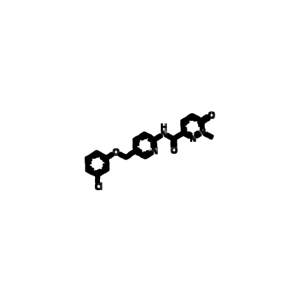 Cn1nc(C(=O)Nc2ccc(COc3cccc(Cl)c3)cn2)ccc1=O